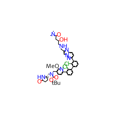 COc1nc(-c2cccc(-c3cccc(-c4ccc5nc(CNCC(O)CC(=O)N(C)C)cn5n4)c3Cl)c2Cl)ccc1CN(C[C@@H]1CCC(=O)N1)C(=O)OC(C)(C)C